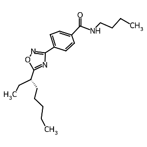 CCCCC[C@H](CC)c1nc(-c2ccc(C(=O)NCCCC)cc2)no1